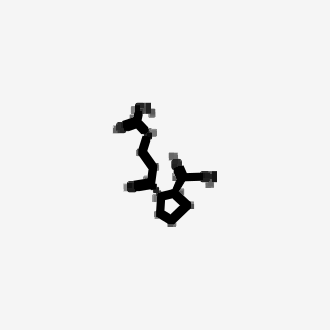 CC(=O)SCCC(=O)[C@H]1CCC[C@@H]1C(=O)O